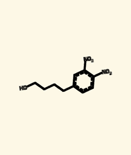 O=[N+]([O-])c1ccc(CCCCO)cc1[N+](=O)[O-]